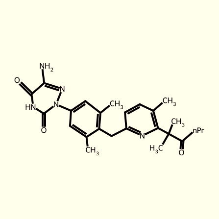 CCCC(=O)C(C)(C)c1nc(Cc2c(C)cc(-n3nc(N)c(=O)[nH]c3=O)cc2C)ccc1C